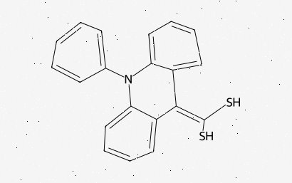 SC(S)=C1c2ccccc2N(c2ccccc2)c2ccccc21